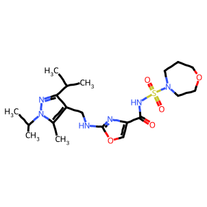 Cc1c(CNc2nc(C(=O)NS(=O)(=O)N3CCCOCC3)co2)c(C(C)C)nn1C(C)C